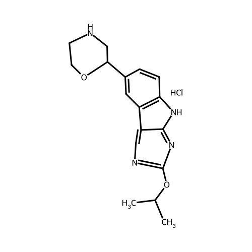 CC(C)Oc1ncc2c(n1)[nH]c1ccc(C3CNCCO3)cc12.Cl